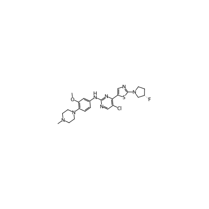 COc1cc(Nc2ncc(Cl)c(-c3cnc(N4CC[C@H](F)C4)s3)n2)ccc1N1CCN(C)CC1